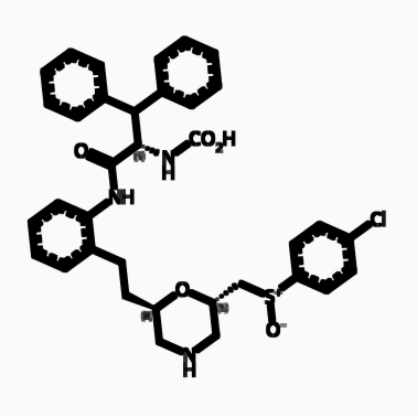 O=C(O)N[C@H](C(=O)Nc1ccccc1CC[C@@H]1CNC[C@@H](C[S+]([O-])c2ccc(Cl)cc2)O1)C(c1ccccc1)c1ccccc1